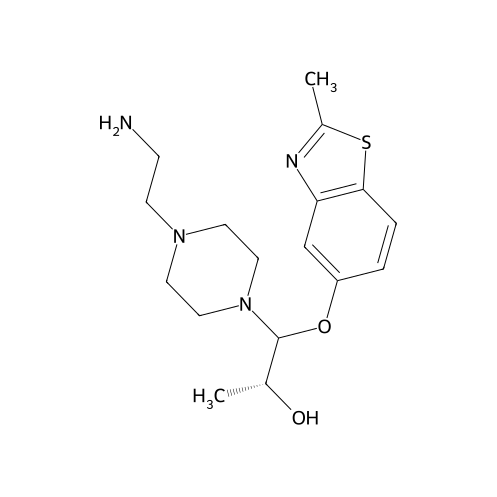 Cc1nc2cc(OC([C@@H](C)O)N3CCN(CCN)CC3)ccc2s1